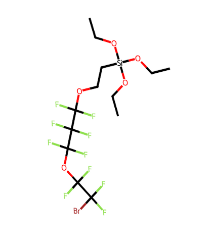 CCO[Si](CCOC(F)(F)C(F)(F)C(F)(F)OC(F)(F)C(F)(F)Br)(OCC)OCC